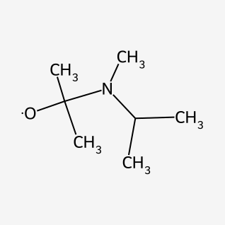 CC(C)N(C)C(C)(C)[O]